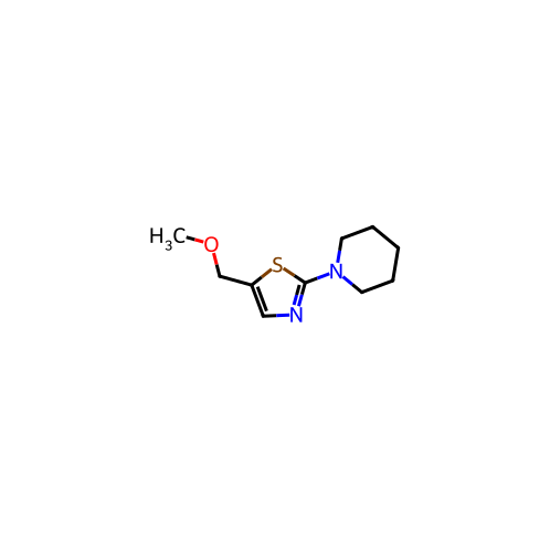 COCc1cnc(N2CCCCC2)s1